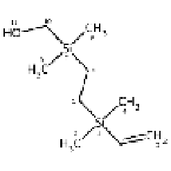 C=C[Si](C)(C)CC[Si](C)(C)CO